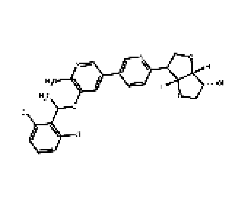 CC(Oc1cc(-c2ccc(C3CO[C@@H]4[C@H](O)CO[C@H]34)nc2)cnc1N)c1c(Cl)cccc1Cl